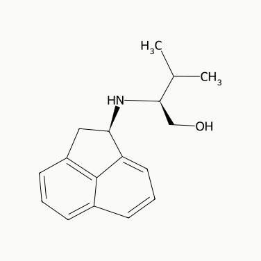 CC(C)[C@@H](CO)N[C@@H]1Cc2cccc3cccc1c23